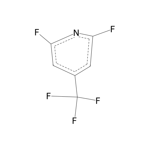 Fc1cc(C(F)(F)F)cc(F)n1